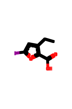 CCc1cc(I)oc1C(=O)O